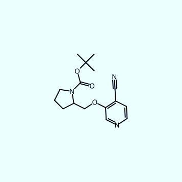 CC(C)(C)OC(=O)N1CCCC1COc1cnccc1C#N